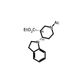 CCOC(=O)[C@@H]1CN(C(C)=O)CC[C@@H]1N1CCc2ccccc21